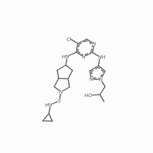 CC(O)Cn1cc(Nc2ncc(Cl)c(NC3CC4CN(SNC5CC5)CC4C3)n2)cn1